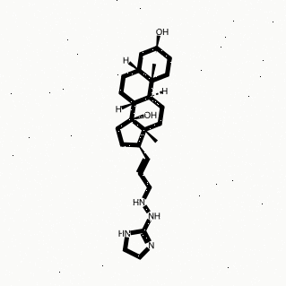 C[C@]12CC[C@H](O)C[C@H]1CC[C@@H]1[C@@H]2CC[C@]2(C)[C@@H](/C=C/CNNC3=NCCN3)CC[C@]12O